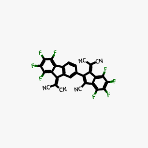 N#CC(C#N)=C1C(c2ccc3c(c2)C(=C(C#N)C#N)c2c(F)c(F)c(F)c(F)c2-3)=C(C#N)c2c(F)c(F)c(F)c(F)c21